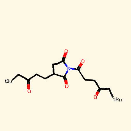 CC(C)(C)CC(=O)CCC(=O)N1C(=O)CC(CCC(=O)CC(C)(C)C)C1=O